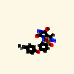 C[C@@H](NS(=O)(=O)c1ccc(Oc2ccc(C(F)(F)F)cc2)cc1)[C@@H]1NC(=O)NC1=O